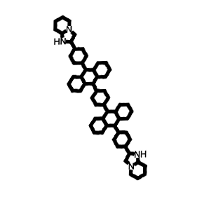 C1CCC2C(C1)C(C1CCC(C3CN4CCCCC4N3)CC1)C1CCCCC1C2C1CCC(C2C3CCCCC3C(C3CCC(C4CN5CCCCC5N4)CC3)C3CCCCC32)CC1